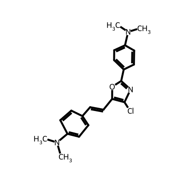 CN(C)c1ccc(C=Cc2oc(-c3ccc(N(C)C)cc3)nc2Cl)cc1